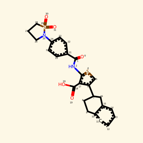 O=C(Nc1scc(C2CCc3ccccc3C2)c1C(=O)O)c1ccc(N2CCCS2(=O)=O)cc1